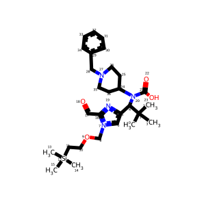 CC(C)(C)C(c1cn(COCC[Si](C)(C)C)c(C=O)n1)N(C(=O)O)C1CCN(Cc2ccccc2)CC1